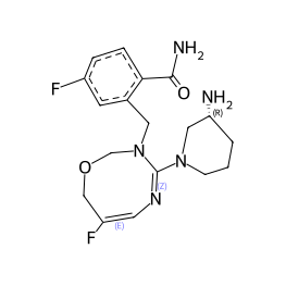 NC(=O)c1ccc(F)cc1CN1COC/C(F)=C\N=C/1N1CCC[C@@H](N)C1